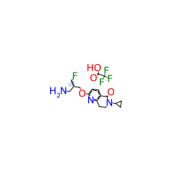 NC/C(=C/F)COc1ccc2c(n1)CCN(C1CC1)C2=O.O=C(O)C(F)(F)F